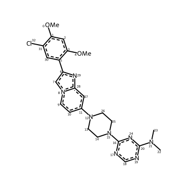 COc1cc(OC)c(-c2cn3ccc(N4CCN(c5ncnc(N(C)C)n5)CC4)cc3n2)cc1Cl